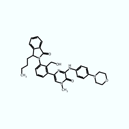 CCCCC1c2ccccc2C(=O)N1c1cccc(-c2cn(C)c(=O)c(Nc3ccc(N4CCOCC4)cc3)n2)c1CO